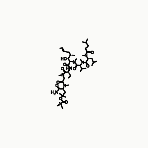 C/C=C/C[C@@H](C)[C@@H](O)C(C(=O)N[C@@H](CC)C(=O)N(C)CC(=O)N(C)[C@@H](CC(C)(C)OC(=O)N(C)C)C(N)=O)N(C)C(=O)[C@H](C(C)C)N(C)C(=O)[C@H](CC(C)C)N(C)C(=O)CCC(C)C